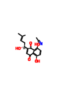 CC#N.CC(C)=CC[C@@H](O)C1=CC(=O)c2c(O)ccc(O)c2C1=O